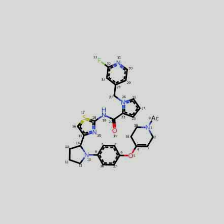 CC(=O)N1CC=C(Oc2ccc(N3CCCC3c3csc(NC(=O)c4cccn4Cc4ccnc(F)c4)n3)cc2)CC1